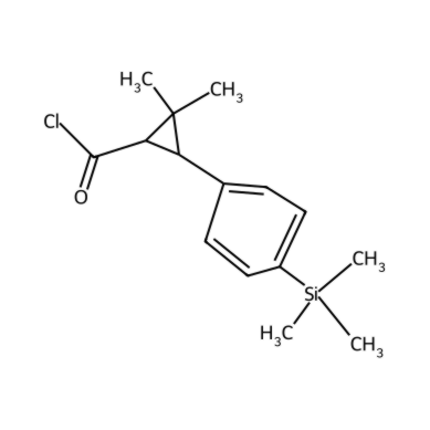 CC1(C)C(C(=O)Cl)C1c1ccc([Si](C)(C)C)cc1